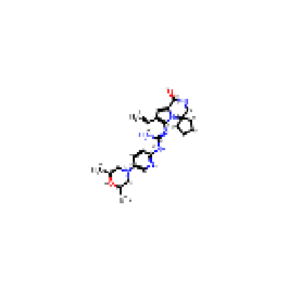 C=Cc1cc2n(c1/N=C(\N)Nc1ccc(N3CC(C)OC(C)C3)cn1)C1(CCCC1)CNC2=O